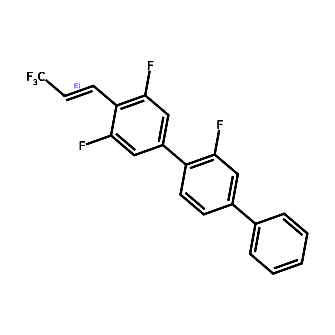 Fc1cc(-c2ccccc2)ccc1-c1cc(F)c(/C=C/C(F)(F)F)c(F)c1